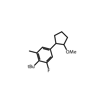 COC1CCCC1c1cc(C)c(C(C)(C)C)c(F)c1